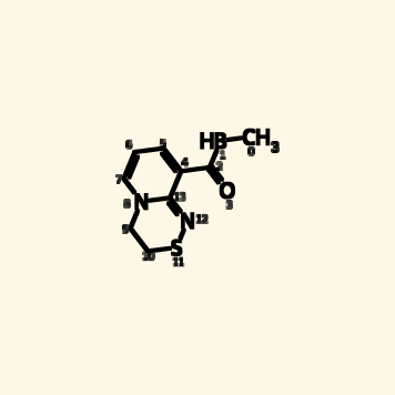 CBC(=O)C1=CC=CN2CCSN=C12